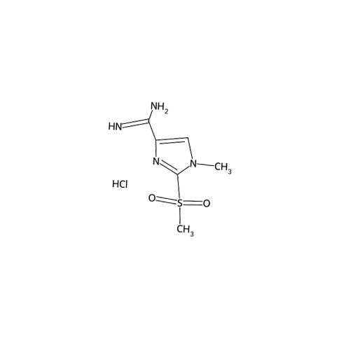 Cl.Cn1cc(C(=N)N)nc1S(C)(=O)=O